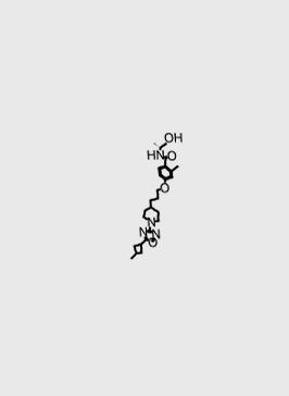 Cc1cc(OCCCC2CCN(c3noc(C4CC(C)C4)n3)CC2)ccc1C(=O)N[C@H](C)CO